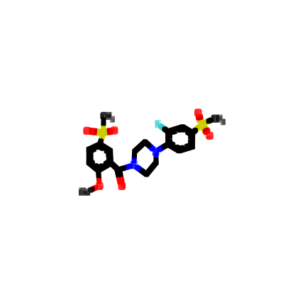 CCC(C)Oc1ccc(S(C)(=O)=O)cc1C(=O)N1CCN(c2ccc(S(C)(=O)=O)cc2F)CC1